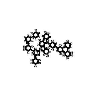 c1ccc(-c2cccc(-c3cccc(-c4nc(-c5ccccc5)nc(-n5c6ccccc6c6c5ccc5c7ccccc7n(-c7ccc(-c8ccc9c%10ccccc%10c%10ccccc%10c9c8)cc7)c56)n4)c3)c2)cc1